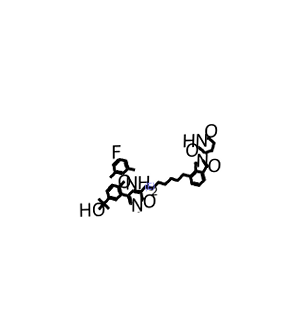 Cc1cc(F)cc(C)c1Oc1ccc(C(C)(C)O)cc1-c1cn(C)c(=O)c(/C=C/CCCCCc2cccc3c2CN(C2CCC(=O)NC2=O)C3=O)c1N